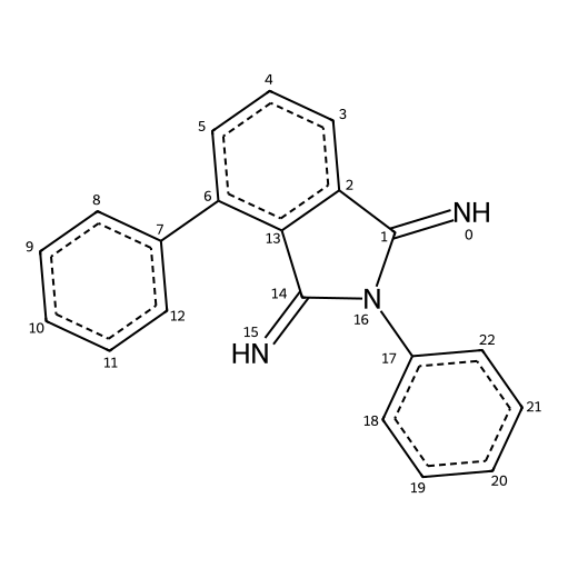 N=C1c2cccc(-c3ccccc3)c2C(=N)N1c1ccccc1